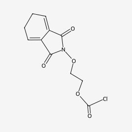 O=C(Cl)OCCON1C(=O)C2=CCCC=C2C1=O